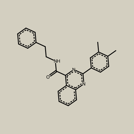 Cc1ccc(-c2nc(C(=O)NCCc3ccccc3)c3ccccc3n2)cc1C